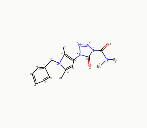 CCN(CC)C(=O)n1nnn(-c2cc(C)n(Cc3ccccc3)c2C)c1=O